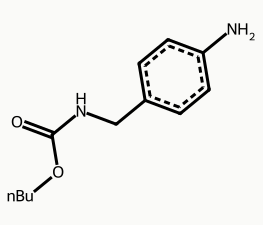 CCCCOC(=O)NCc1ccc(N)cc1